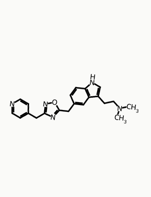 CN(C)CCc1c[nH]c2ccc(Cc3nc(Cc4ccncc4)no3)cc12